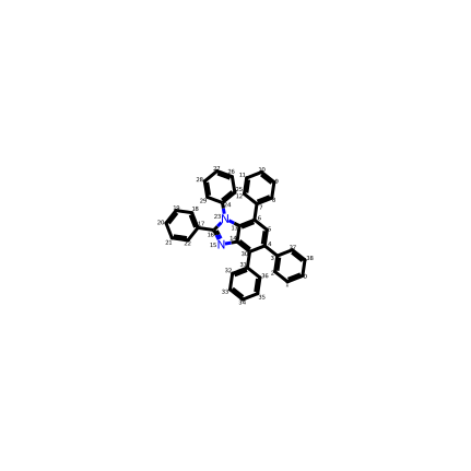 c1ccc(-c2cc(-c3ccccc3)c3c(nc(-c4ccccc4)n3-c3ccccc3)c2-c2ccccc2)cc1